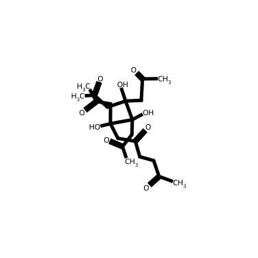 CC(=O)CCC(=O)CC(O)(CC(C)=O)C(O)(CC(C)=O)C(O)(CC(C)=O)CC(C)=O